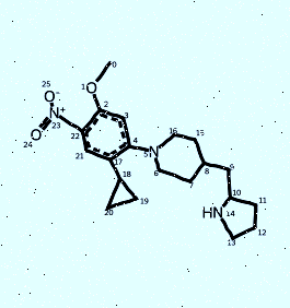 COc1cc(N2CCC(CC3CCCN3)CC2)c(C2CC2)cc1[N+](=O)[O-]